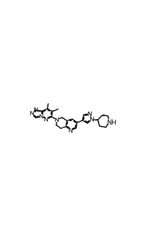 Cc1c(N2CCc3ncc(-c4cnn(C5CCNCC5)c4)cc3C2)nn2cnnc2c1C